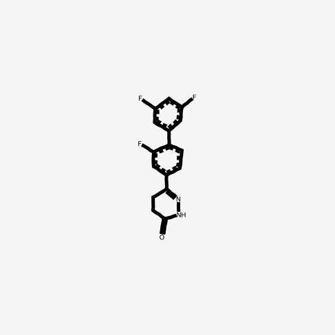 O=C1CCC(c2ccc(-c3cc(F)cc(F)c3)c(F)c2)=NN1